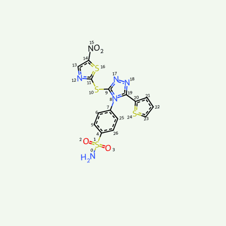 NS(=O)(=O)c1ccc(-n2c(Sc3ncc([N+](=O)[O-])s3)nnc2-c2cccs2)cc1